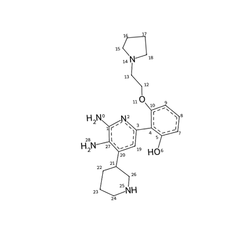 Nc1nc(-c2c(O)cccc2OCCN2CCCC2)cc(C2CCCNC2)c1N